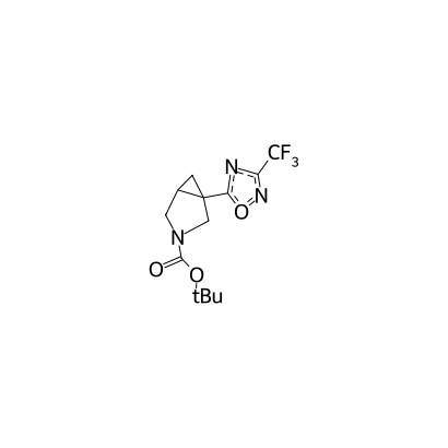 CC(C)(C)OC(=O)N1CC2CC2(c2nc(C(F)(F)F)no2)C1